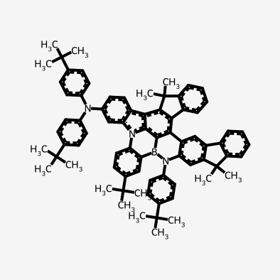 CC(C)(C)c1ccc(N2B3c4cc(C(C)(C)C)ccc4-n4c5cc(N(c6ccc(C(C)(C)C)cc6)c6ccc(C(C)(C)C)cc6)ccc5c5c6c(c(c3c54)-c3cc4c(cc32)C(C)(C)c2ccccc2-4)-c2ccccc2C6(C)C)cc1